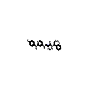 C=N/C(=C\N(C)c1ccnc(Nc2ccc(F)cc2)c1)C(=O)NC(CN)c1ccccc1